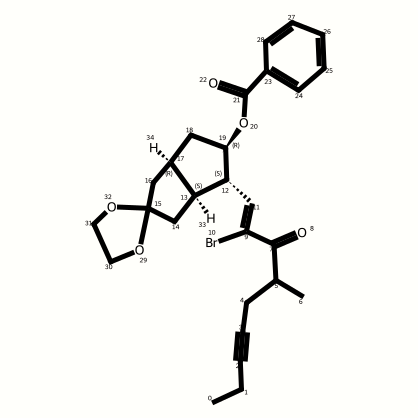 CCC#CCC(C)C(=O)C(Br)=C[C@@H]1[C@H]2CC3(C[C@H]2C[C@H]1OC(=O)c1ccccc1)OCCO3